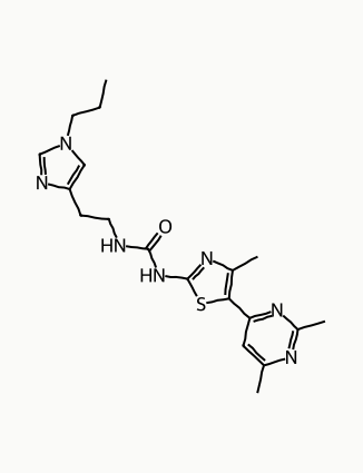 CCCn1cnc(CCNC(=O)Nc2nc(C)c(-c3cc(C)nc(C)n3)s2)c1